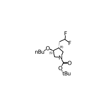 CCCCO[C@@H]1CN(C(=O)OC(C)(C)C)C[C@H]1CC(F)F